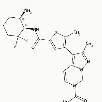 Cc1nn2c(c1-c1cc(C(=O)N[C@@H]3[C@H](N)CCCC3(F)F)sc1C)C=CN(C(=O)O)C2